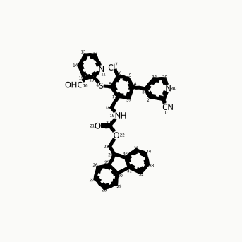 N#Cc1cc(-c2cc(Cl)c(Sc3ncccc3C=O)c(CNC(=O)OCC3c4ccccc4-c4ccccc43)c2)ccn1